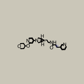 O=C(/C=C/c1cccnc1)NCC[C@H]1[C@H]2CN(c3ccnc(OC4CCOCC4)c3)C[C@@H]12